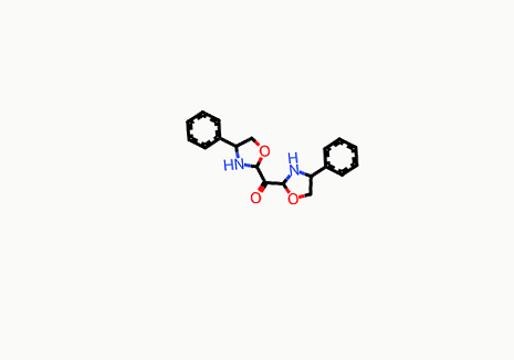 O=C(C1NC(c2ccccc2)CO1)C1NC(c2ccccc2)CO1